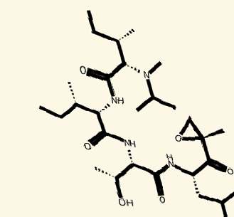 CC[C@H](C)[C@H](NC(=O)[C@H]([C@@H](C)CC)N(C)C(C)C)C(=O)N[C@H](C(=O)N[C@@H](CC(C)C)C(=O)[C@@]1(C)CO1)[C@@H](C)O